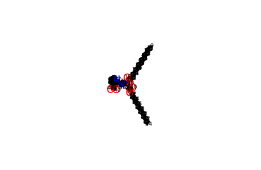 CCCCCCCCCCCCCCC(=O)O[C@H](CC(=O)OCCCCCCCCCCCCC)C[N+](C)(C)C.O=C([O-])c1cccnc1